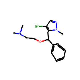 CN(C)CCOC(c1ccccc1)c1c(Br)cnn1C